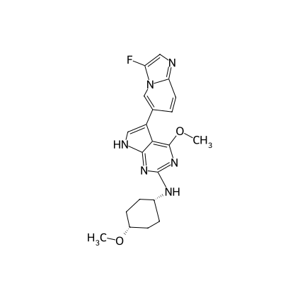 COc1nc(N[C@H]2CC[C@@H](OC)CC2)nc2[nH]cc(-c3ccc4ncc(F)n4c3)c12